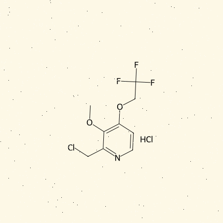 COc1c(OCC(F)(F)F)ccnc1CCl.Cl